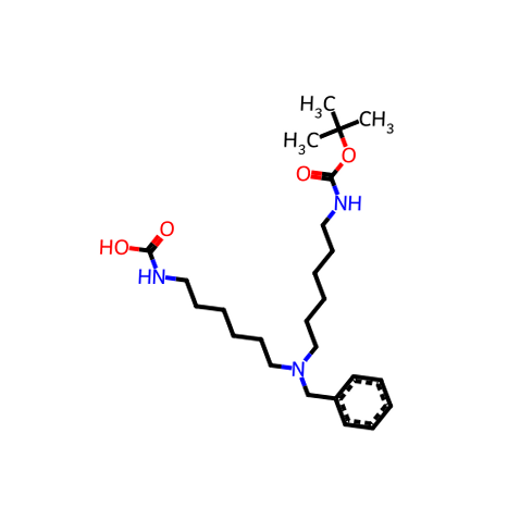 CC(C)(C)OC(=O)NCCCCCCN(CCCCCCNC(=O)O)Cc1ccccc1